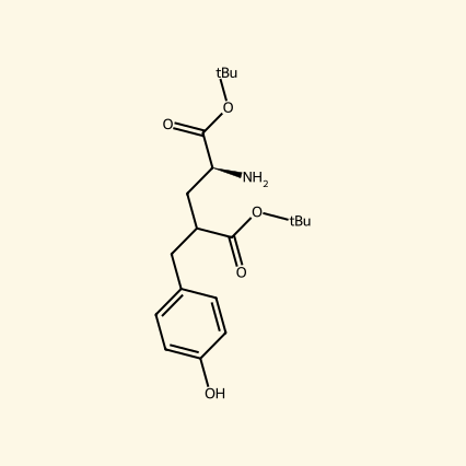 CC(C)(C)OC(=O)C(Cc1ccc(O)cc1)C[C@H](N)C(=O)OC(C)(C)C